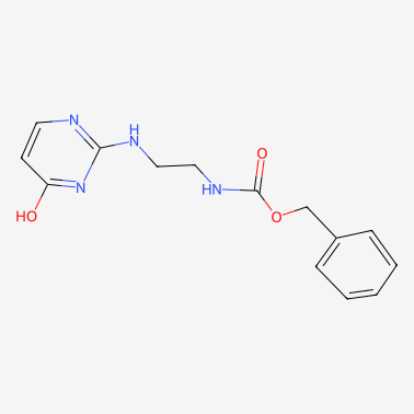 O=C(NCCNc1nccc(O)n1)OCc1ccccc1